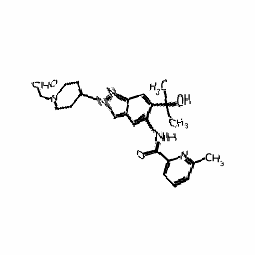 Cc1cccc(C(=O)Nc2cc3cn(C4CCN(CC=O)CC4)nc3cc2C(C)(C)O)n1